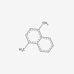 Cc1ccc(C)c2cc[c]cc12